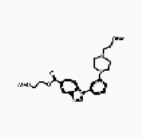 COCCOC(=O)c1ccc2c(c1)ncn2-c1cccc(N2CCN(CCOC)CC2)c1